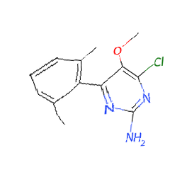 COc1c(Cl)nc(N)nc1-c1c(C)cccc1C